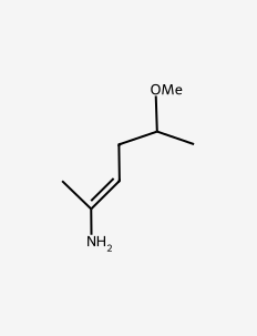 COC(C)C/C=C(\C)N